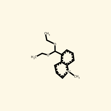 CCOC(OCC)c1cccc2c1ccc[n+]2C